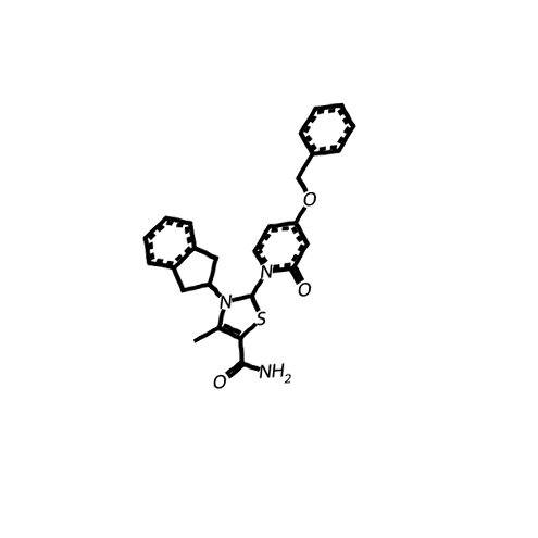 CC1=C(C(N)=O)SC(n2ccc(OCc3ccccc3)cc2=O)N1C1Cc2ccccc2C1